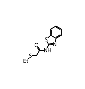 CCSCC(=O)Nc1nc2ccccc2s1